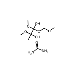 COCOC(O)(OC)C(C)(O)OC.NC(N)=O